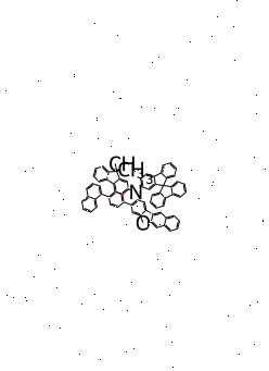 CC1(C)c2ccccc2-c2ccc(N(c3ccc4c(c3)C3(c5ccccc5-c5ccccc53)c3ccccc3-4)c3cc4c(cc3-c3ccc(-c5cccc6ccccc56)cc3)oc3cc5ccccc5cc34)cc21